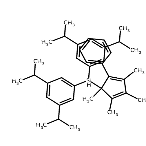 CC1=C(C)C(C)([SiH](c2cc(C(C)C)cc(C(C)C)c2)c2cc(C(C)C)cc(C(C)C)c2)C(c2ccccc2)=C1C